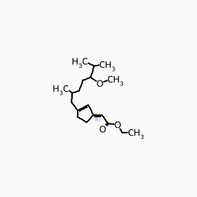 CCOC(=O)/C=C1/C=C(CC(C)CCC(OC)C(C)C)CC1